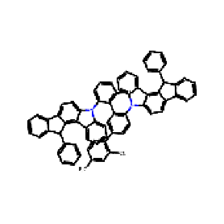 N#Cc1cc(C(F)(F)F)ccc1-c1ccc(-n2c3ccccc3c3c4c(ccc32)-c2ccccc2C4c2ccccc2)c(-c2c(C#N)cccc2-n2c3ccccc3c3c4c(ccc32)-c2ccccc2C4c2ccccc2)c1